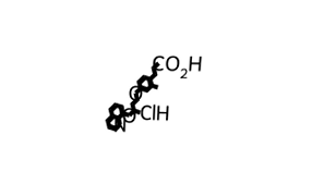 Cc1cc(OCCC(C)Oc2cccc3cccnc23)ccc1CCC(=O)O.Cl